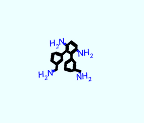 NCc1cccc(-c2c(N)ccc(N)c2-c2cccc(CN)c2)c1